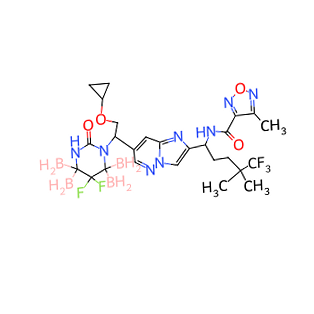 BC1(B)NC(=O)N(C(COC2CC2)c2cnn3cc(C(CCC(C)(C)C(F)(F)F)NC(=O)c4nonc4C)nc3c2)C(B)(B)C1(F)F